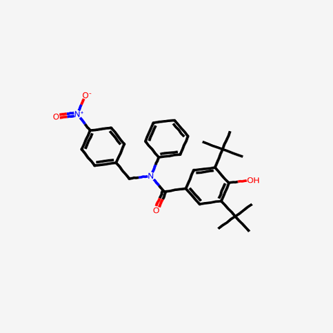 CC(C)(C)c1cc(C(=O)N(Cc2ccc([N+](=O)[O-])cc2)c2ccccc2)cc(C(C)(C)C)c1O